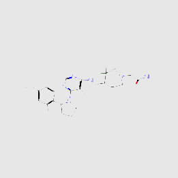 NC(=O)CN1CCC(CNc2ncnc(N3CCCC3c3ccc(C(F)(F)F)cc3F)c2F)C(F)(F)C1